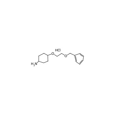 Cl.NC1CCC(OCCOCc2ccccc2)CC1